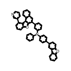 c1ccc(N(c2ccc(-c3ccc4oc5ccccc5c4c3)cc2)c2cccc(-c3cc4ccccc4c4c3oc3cccc(-c5cccnc5)c34)c2)cc1